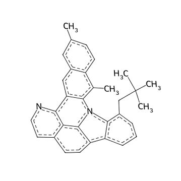 Cc1ccc2c(C)c3c(cc2c1)c1nccc2ccc4c5cccc(CC(C)(C)C)c5n3c4c21